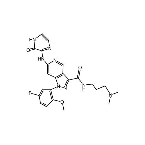 COc1ccc(F)cc1-n1nc(C(=O)NCCCN(C)C)c2cnc(Nc3ncc[nH]c3=O)cc21